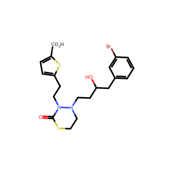 O=C(O)c1ccc(CCN2C(=O)SCCN2CCC(O)Cc2cccc(Br)c2)s1